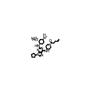 C=CCCC(=O)N1CCC(Nc2nc(NC3CCC(N)CC3)nc3c2ncn3C2CCCC2)CC1.Cl.Cl